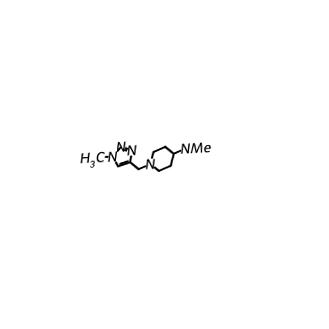 CNC1CCN(Cc2cn(C)nn2)CC1